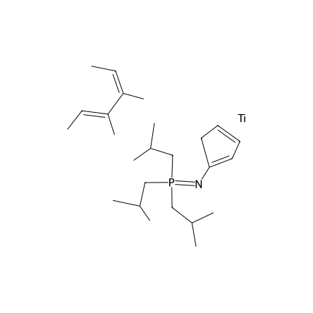 CC(C)CP(CC(C)C)(CC(C)C)=NC1=CC=CC1.CC=C(C)C(C)=CC.[Ti]